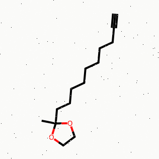 C#CCCCCCCCCC1(C)OCCO1